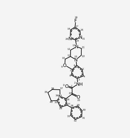 O=C(Nc1ccc2c(c1)OCC1CN(c3ncc(F)cn3)CCN21)C(=O)c1c(-c2ccccc2)cc2n1CCCC2